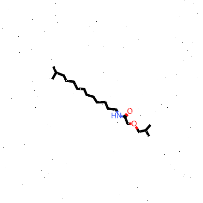 CC(C)CCCCCCCCCCCNC(=O)COCC(C)C